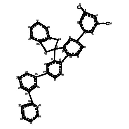 Clc1cc(Cl)cc(-c2ccc3c(c2)C2(Cc4ccccc4C2)c2cc(-c4cccc(-c5ccccn5)c4)ccc2-3)c1